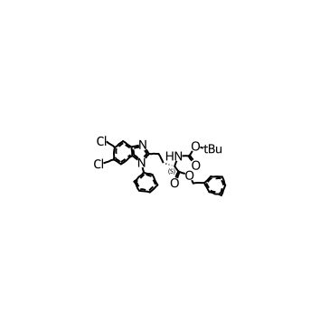 CC(C)(C)OC(=O)N[C@@H](CCc1nc2cc(Cl)c(Cl)cc2n1-c1ccccc1)C(=O)OCc1ccccc1